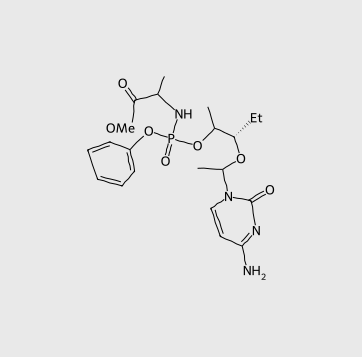 CC[C@H](OC(C)n1ccc(N)nc1=O)C(C)OP(=O)(NC(C)C(=O)OC)Oc1ccccc1